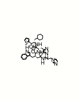 O=C(C[C@@H](Cc1c[nH]c2ccccc12)C(=O)N[C@@H](Cc1c[nH]cn1)C(=O)N[C@@H](CC1CCCCC1)[C@@H](O)c1cccs1)NCCCn1ccnc1